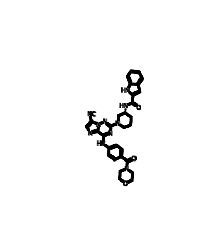 [C-]#[N+]c1cnc2c(Nc3ccc(C(=O)N4CCOCC4)cc3)nc(N3CCC[C@@H](NC(=O)c4cc5ccccc5[nH]4)C3)nn12